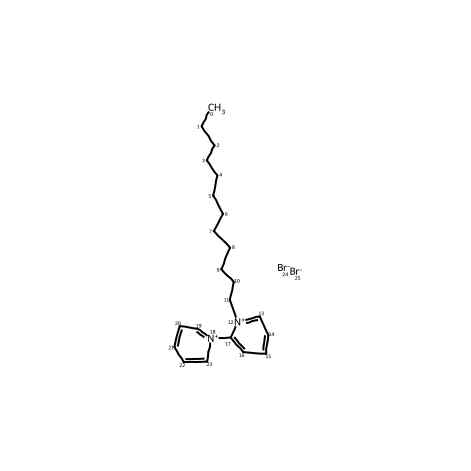 CCCCCCCCCCCC[n+]1ccccc1-[n+]1ccccc1.[Br-].[Br-]